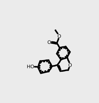 COC(=O)c1ccc2c(c1)C(c1ccc(O)cc1)=CCO2